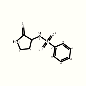 O=C1NCCC1NS(=O)(=O)c1ccccc1